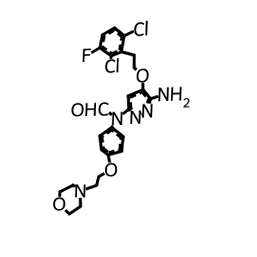 Nc1nnc(N(C=O)c2ccc(OCCN3CCOCC3)cc2)cc1OCCc1c(Cl)ccc(F)c1Cl